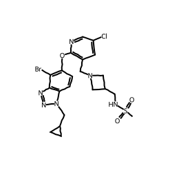 CS(=O)(=O)NCC1CN(Cc2cc(Cl)cnc2Oc2ccc3c(nnn3CC3CC3)c2Br)C1